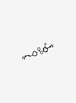 N#CC=C[C@H]1CC[C@H](C(=O)Oc2ccc(C#N)c(F)c2)CC1